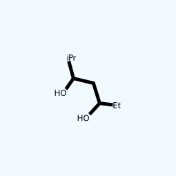 CCC(O)CC(O)C(C)C